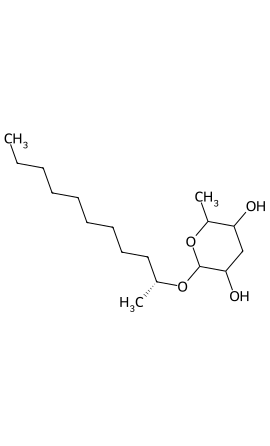 CCCCCCCCC[C@@H](C)OC1OC(C)C(O)CC1O